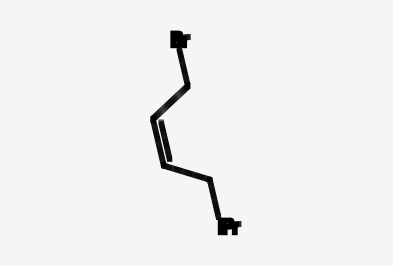 CC(C)C/C=C\CBr